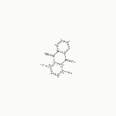 O=C1c2ccccc2C(=O)c2c(F)ccc(F)c21